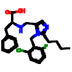 CCCCc1ncc(CNC(Cc2ccccc2)C(=O)O)n1Cc1c(F)cccc1Cl